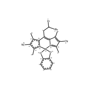 CCCCC(CC)CC1=C2C(C)=C(C#N)C(C)=[N+]2[B-]2(Oc3ccccc3O2)n2c(C)c(C#N)c(C)c21